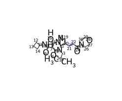 CC(C)Cn1c(=O)c(C(=O)NC2CCC2)c(O)n2ncc(/C=C/C(=O)N3CCOCC3)c12